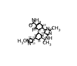 Cc1nc(NC(C)c2cccc(-c3cnn(C)c3)c2)cc(-c2ccc(C(N)=O)c(F)c2)n1